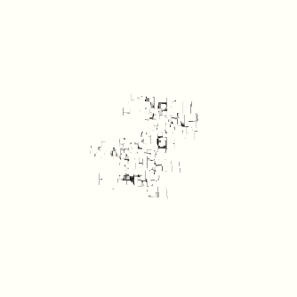 CC(C)N[Si]1(C)O[SiH](C)O[Si](C)(NC(C)C)O1.CN[Si]1(C)O[SiH](C)O[SiH](C)O[SiH](C)O[SiH](C)O1